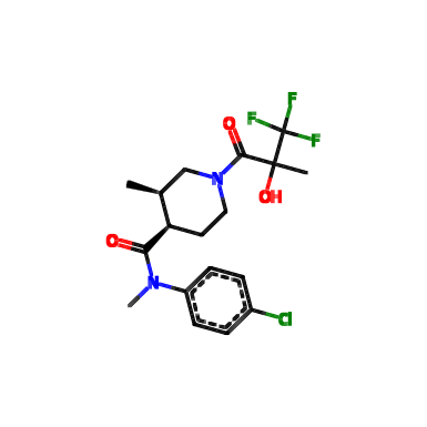 C[C@H]1CN(C(=O)C(C)(O)C(F)(F)F)CC[C@H]1C(=O)N(C)c1ccc(Cl)cc1